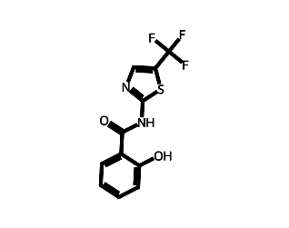 O=C(Nc1ncc(C(F)(F)F)s1)c1ccccc1O